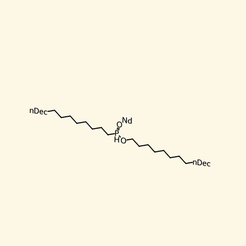 CCCCCCCCCCCCCCCCCCO[PH](=O)CCCCCCCCCCCCCCCCCC.[Nd]